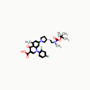 Cc1cc(N2CC[C@H](CCN(C)C(=O)OC(C)(C)C)C2)cc2c1c(=O)c(C(=O)O)cn2-c1ccc(F)cc1F